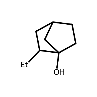 CCC1CC2CCC1(O)C2